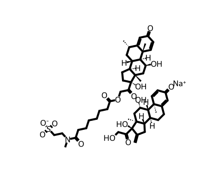 C=C1C[C@H]2[C@@H]3CCC4=CC(=O)C=C[C@]4(C)[C@H]3[C@@H](O)C[C@]2(C)[C@@]1(O)C(=O)CO.C[C@H]1C[C@@H]2[C@H]([C@@H](O)C[C@@]3(C)[C@H]2CC[C@]3(O)C(=O)COC(=O)CCCCCCC(=O)N(C)CCS(=O)(=O)[O-])[C@@]2(C)C=CC(=O)C=C12.[Na+]